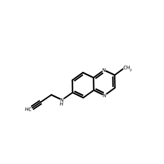 C#CCNc1ccc2nc(C)cnc2c1